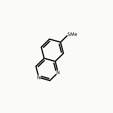 CSc1ccc2cncnc2c1